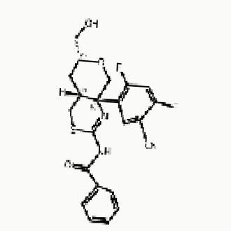 N#Cc1cc([C@]23CO[C@@H](CO)C[C@H]2CSC(NC(=O)c2ccccc2)=N3)c(F)cc1F